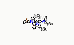 Cc1cc2c3c(c1)N(c1ccc(C(C)(C)C)cc1-c1ccccc1)c1cc(N4c5ccc(C(C)(C)C)cc5C5(C)CCCCC45C)ccc1B3c1cc(C(C)(C)C)ccc1N2c1ccc2c(c1)sc1ccccc12